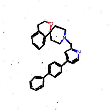 c1ccc(-c2ccc(-c3ccnc(CN4CCC5(CC4)OCCc4ccccc45)c3)cc2)cc1